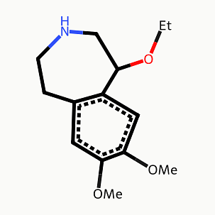 CCOC1CNCCc2cc(OC)c(OC)cc21